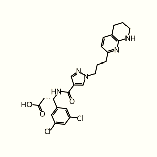 O=C(O)C[C@H](NC(=O)c1cnn(CCCc2ccc3c(n2)NCCC3)c1)c1cc(Cl)cc(Cl)c1